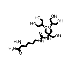 NC(=O)[C@H](N)CCCCNC(=O)NC(CO)(COC(CO)CO)COC(CO)CO